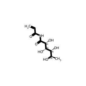 C=CC(=O)NC(=O)[C@H](O)[C@@H](O)[C@H](O)[C@@H](C)O